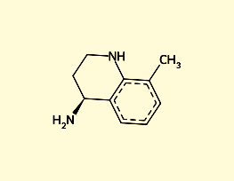 Cc1cccc2c1NCC[C@@H]2N